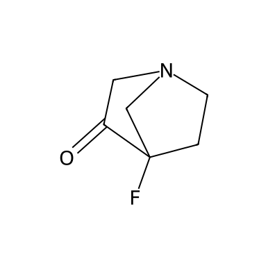 O=C1CN2CCC1(F)C2